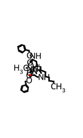 CCCCCCCC[C@H](CC(=O)NOCc1ccccc1)C(=O)[N@+]1(C(=O)NC)CCNCC1C(=O)OCc1ccccc1